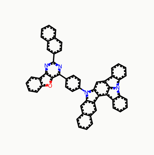 c1ccc2cc(-c3nc(-c4ccc(-n5c6cc7ccccc7cc6c6c7c8ccccc8n8c9ccccc9c(cc65)c78)cc4)c4oc5ccccc5c4n3)ccc2c1